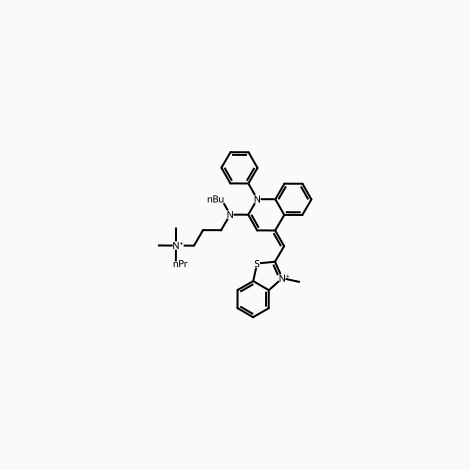 CCCCN(CCC[N+](C)(C)CCC)C1=CC(=Cc2sc3ccccc3[n+]2C)c2ccccc2N1c1ccccc1